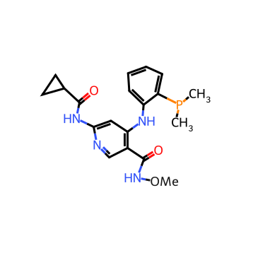 CONC(=O)c1cnc(NC(=O)C2CC2)cc1Nc1ccccc1P(C)C